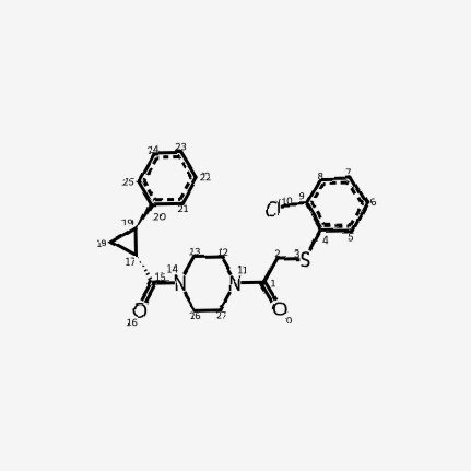 O=C(CSc1ccccc1Cl)N1CCN(C(=O)[C@@H]2C[C@H]2c2ccccc2)CC1